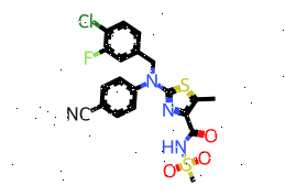 Cc1sc(N(Cc2ccc(Cl)c(F)c2)c2ccc(C#N)cc2)nc1C(=O)NS(C)(=O)=O